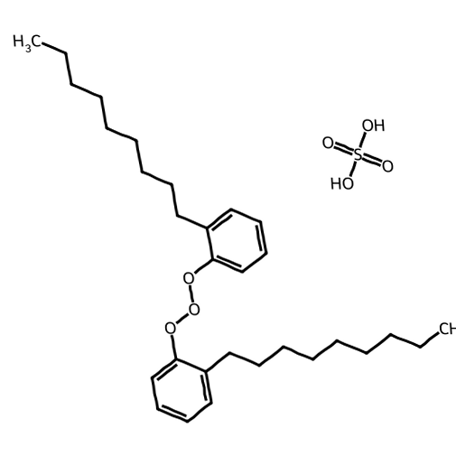 CCCCCCCCCc1ccccc1OOOc1ccccc1CCCCCCCCC.O=S(=O)(O)O